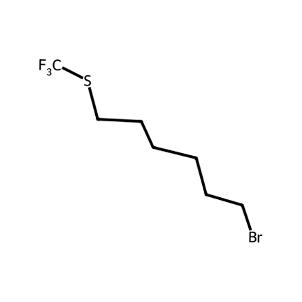 FC(F)(F)SCCCCCCBr